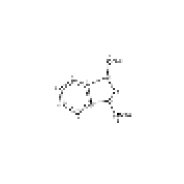 CCCCCC1CC(OC)c2ccccc21